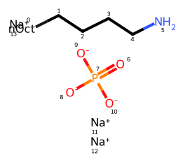 CCCCCCCCCCCCN.O=P([O-])([O-])[O-].[Na+].[Na+].[Na+]